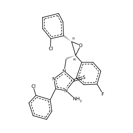 Nn1c(-c2ccccc2Cl)nn(C[C@@]2(c3ccc(F)cc3)O[C@H]2c2ccccc2Cl)c1=S